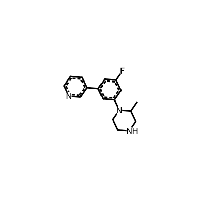 CC1CNCCN1c1cc(F)cc(-c2cccnc2)c1